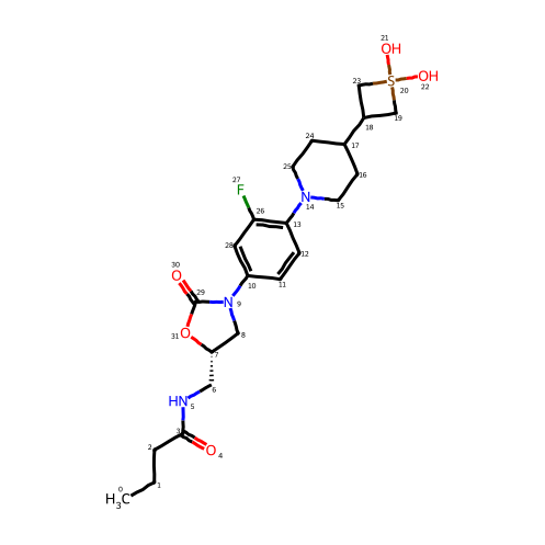 CCCC(=O)NC[C@H]1CN(c2ccc(N3CCC(C4CS(O)(O)C4)CC3)c(F)c2)C(=O)O1